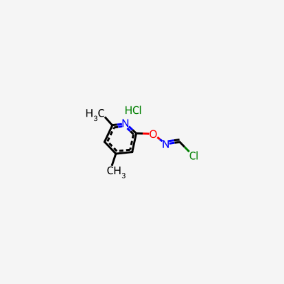 Cc1cc(C)nc(ON=CCl)c1.Cl